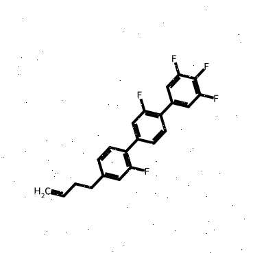 C=CCCc1ccc(-c2ccc(-c3cc(F)c(F)c(F)c3)c(F)c2)c(F)c1